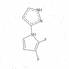 FC1=C(F)[SH](c2cc[nH]n2)C=C1